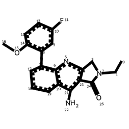 CCN1Cc2nc3c(-c4cc(F)ccc4OC)cccc3c(N)c2C1=O